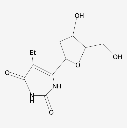 CCc1c(C2CC(O)C(CO)O2)[nH]c(=O)[nH]c1=O